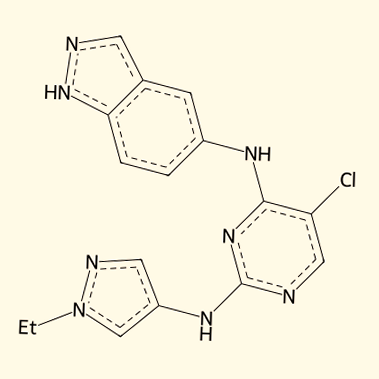 CCn1cc(Nc2ncc(Cl)c(Nc3ccc4[nH]ncc4c3)n2)cn1